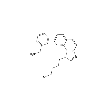 ClCCCCn1cnc2cnc3ccccc3c21.NCc1ccccc1